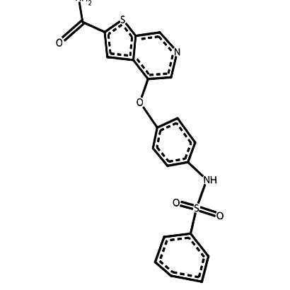 NC(=O)c1cc2c(Oc3ccc(NS(=O)(=O)c4ccccc4)cc3)cncc2s1